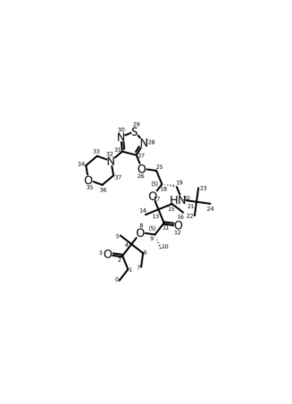 CCC(=O)C(C)(CC)O[C@@H](C)C(=O)C(C)(CC)O[C@@H](CNC(C)(C)C)COc1nsnc1N1CCOCC1